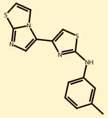 Cc1cccc(Nc2nc(-c3cnc4sccn34)cs2)c1